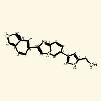 OCc1cc(-c2ccc3nc(-c4ccc5cocc5c4)cn3c2)cs1